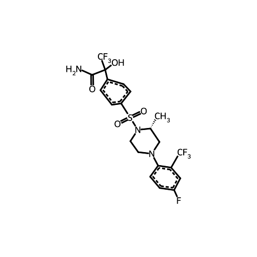 C[C@@H]1CN(c2ccc(F)cc2C(F)(F)F)CCN1S(=O)(=O)c1ccc(C(O)(C(N)=O)C(F)(F)F)cc1